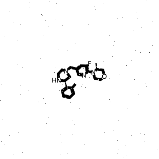 Cc1ccccc1[C@@H]1CN(Cc2cnc(N3CCOC[C@@H]3C)c(F)c2)CCN1